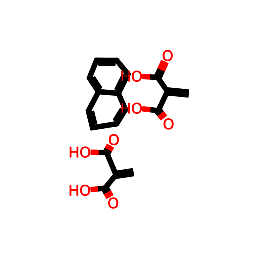 C=C(C(=O)O)C(=O)O.C=C(C(=O)O)C(=O)O.c1ccc2ccccc2c1